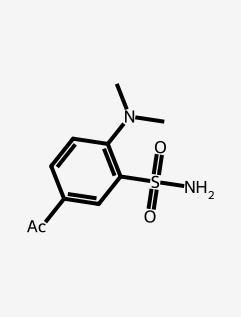 CC(=O)c1ccc(N(C)C)c(S(N)(=O)=O)c1